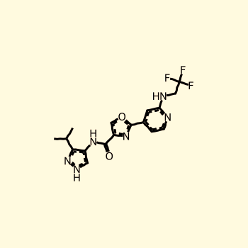 CC(C)c1n[nH]cc1NC(=O)c1coc(-c2ccnc(NCC(F)(F)F)c2)n1